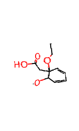 CCOC1(CC(=O)O)C=CC=CC1[O]